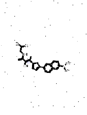 C=C(NCC(CC)CC)/C(C#N)=C(\C)C1=CC=C(c2ccc3cc(N(CCC)CCC)ccc3c2)C1